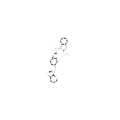 O[C@@H]1Cc2ccccc2C1Nc1nc2ccc(Cn3cnc4cccnc43)cc2s1